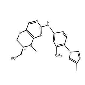 COc1cc(Nc2ncc3c(n2)N(C)[C@@H](CO)CO3)ccc1-n1cnc(C)c1